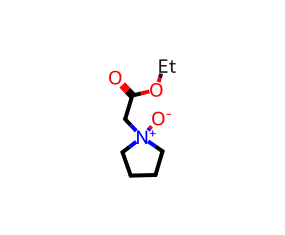 CCOC(=O)C[N+]1([O-])CCCC1